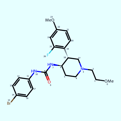 COCCN1CC[C@@H](NC(=O)Nc2ccc(Br)cc2)[C@H](c2ccc(OC)cc2F)C1